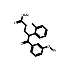 COC(=O)CCC(C(=O)c1cccc(OC(C)C)c1)c1ccccc1C